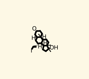 C[C@]12CCC(=O)C[C@@H]1C[C@@H](/C=C/I)[C@@H]1[C@@H]2CC[C@@]2(C)[C@H]1CC[C@@]2(C)O